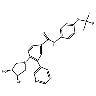 O=C(Nc1ccc(OC(F)(F)F)cc1)c1ccc(N2C[C@@H](O)[C@@H](O)C2)c(-c2cncnc2)c1